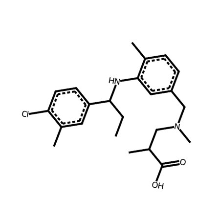 CCC(Nc1cc(CN(C)CC(C)C(=O)O)ccc1C)c1ccc(Cl)c(C)c1